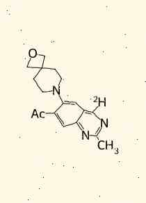 [2H]c1nc(C)nc2cc(C(C)=O)c(N3CCC4(CC3)COC4)cc12